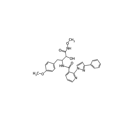 CONC(=O)C(O)C(Cc1ccc(OC)cc1)NC(=O)c1cccnc1-n1ccc(-c2ccccc2)n1